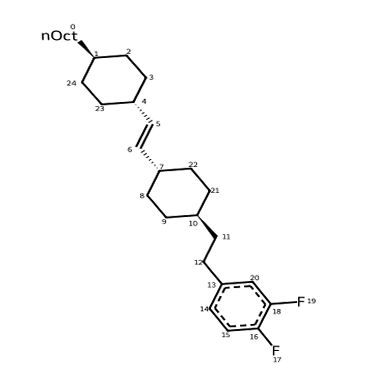 CCCCCCCC[C@H]1CC[C@H](/C=C/[C@H]2CC[C@H](CCc3ccc(F)c(F)c3)CC2)CC1